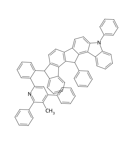 Cc1c(-c2ccccc2)cc(-c2ccccc2C2c3ccccc3-c3c2ccc2c3C(c3ccccc3)c3c-2ccc2c3c3ccccc3n2-c2ccccc2)nc1-c1ccccc1